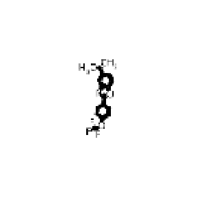 CC(C)c1ccc2oc(-c3ccc(OC(F)(F)F)cc3)nc2c1